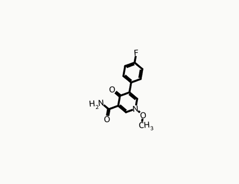 COn1cc(C(N)=O)c(=O)c(-c2ccc(F)cc2)c1